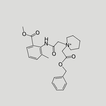 COC(=O)c1cccc(C)c1NC(=O)C[N+]1(CC(=O)OCc2ccccc2)CCCCC1